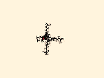 CC(C)CCCCCOC(=O)C(SP(=S)(S)S)(C(=O)OCCCCCC(C)C)C(=O)OCCCCCC(C)C